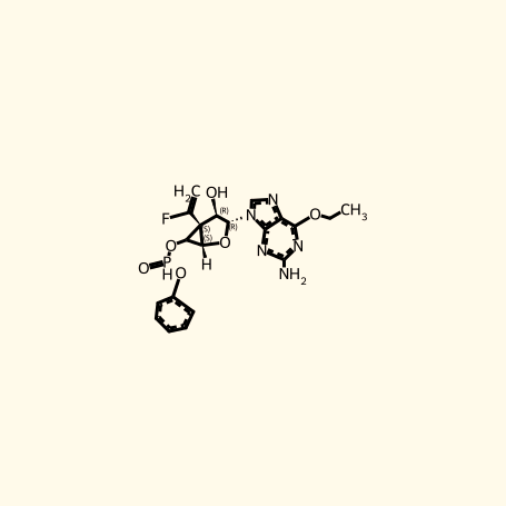 C=C(F)[C@]12C(O[PH](=O)Oc3ccccc3)[C@H]1O[C@@H](n1cnc3c(OCC)nc(N)nc31)[C@@H]2O